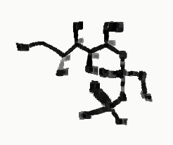 [2H]OP(=O)(O[C@H](C=O)[C@@H](O)[C@H](O)[C@H](O)CO)OP(=O)(O)O